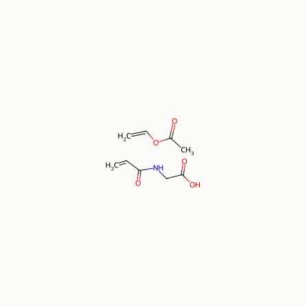 C=CC(=O)NCC(=O)O.C=COC(C)=O